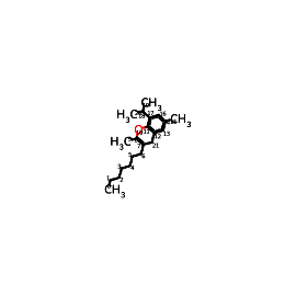 CCCCCCCC1=C(C)Oc2c(cc(C)cc2C(C)C)C1